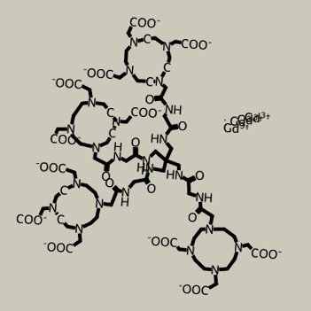 O=C([O-])CN1CCN(CC(=O)[O-])CCN(CC(=O)NCC(=O)NCC(CNC(=O)CNC(=O)CN2CCN(CC(=O)[O-])CCN(CC(=O)[O-])CCN(CC(=O)[O-])CC2)(CNC(=O)CNC(=O)CN2CCN(CC(=O)[O-])CCN(CC(=O)[O-])CCN(CC(=O)[O-])CC2)CNC(=O)CNC(=O)CN2CCN(CC(=O)[O-])CCN(CC(=O)[O-])CCN(CC(=O)[O-])CC2)CCN(CC(=O)[O-])CC1.[Gd+3].[Gd+3].[Gd+3].[Gd+3]